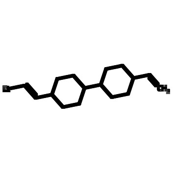 C=CC1CCC(C2CCC(/C=C/CC)CC2)CC1